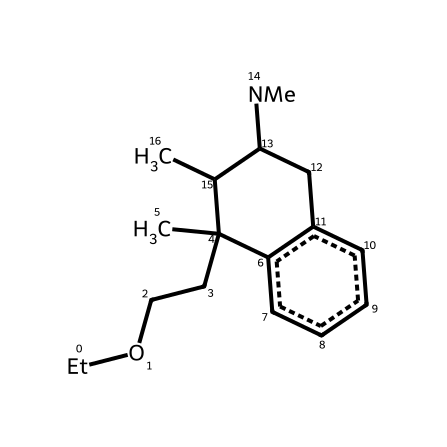 CCOCCC1(C)c2ccccc2CC(NC)C1C